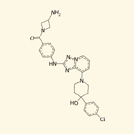 NC1CN(C(=O)c2ccc(Nc3nc4c(N5CCC(O)(c6ccc(Cl)cc6)CC5)cccn4n3)cc2)C1